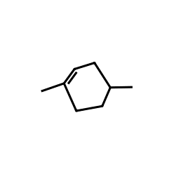 CC1=CCC(C)CC1